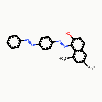 O=S(=O)(O)c1cc(S(=O)(=O)O)c2c(N=Nc3ccc(N=Nc4ccccc4)cc3)c(O)ccc2c1